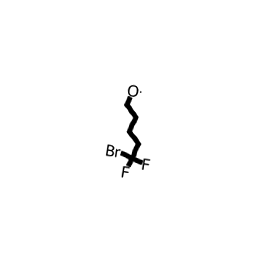 [O]CCCCC(F)(F)Br